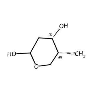 C[C@@H]1COC(O)C[C@@H]1O